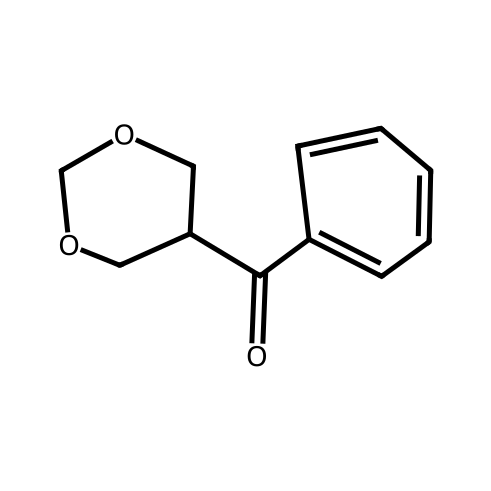 O=C(c1ccccc1)C1COCOC1